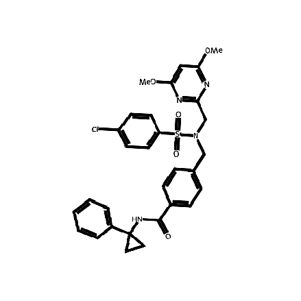 COc1cc(OC)nc(CN(Cc2ccc(C(=O)NC3(c4ccccc4)CC3)cc2)S(=O)(=O)c2ccc(Cl)cc2)n1